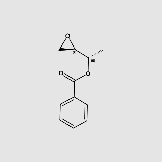 C[C@H](OC(=O)c1ccccc1)[C@H]1CO1